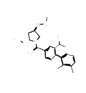 CO/N=C1/C[C@@H](CO)N(C(=O)c2ccc(-c3cccc(C)c3C)c(C(F)F)c2)C1